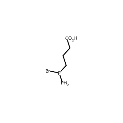 O=C(O)CCCP(P)Br